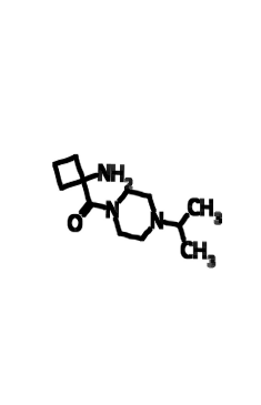 CC(C)N1CCN(C(=O)C2(N)CCC2)CC1